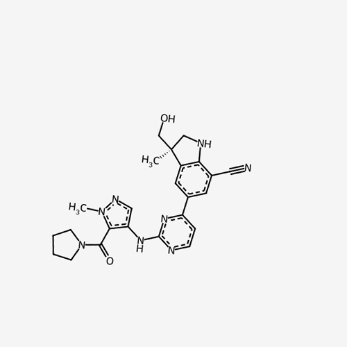 Cn1ncc(Nc2nccc(-c3cc(C#N)c4c(c3)[C@@](C)(CO)CN4)n2)c1C(=O)N1CCCC1